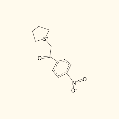 O=C(C[S+]1CCCC1)c1ccc([N+](=O)[O-])cc1